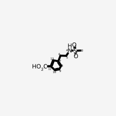 CS(=O)(=O)NCCc1cccc(C(=O)O)c1